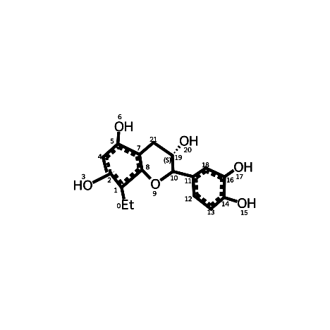 CCc1c(O)cc(O)c2c1OC(c1ccc(O)c(O)c1)[C@@H](O)C2